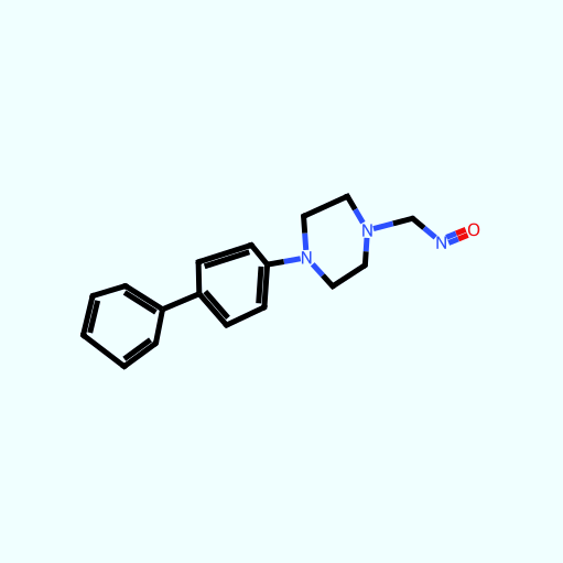 O=NCN1CCN(c2ccc(-c3ccccc3)cc2)CC1